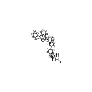 Cc1nc2ccc(-c3ccc4c(c3)CN(C(=O)N3CCCCC3Cc3ccccc3)CCO4)cc2[nH]1